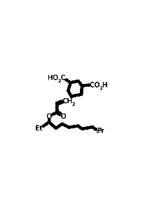 C=CC(=O)OC(CC)CCCCCCC(C)C.O=C(O)C1CCCC(C(=O)O)C1